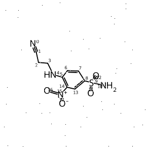 N#CCCNc1ccc(S(N)(=O)=O)cc1[N+](=O)[O-]